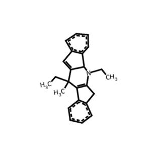 CCN1C2=C(c3ccccc3C2)C(C)(CC)C2=Cc3ccccc3C21